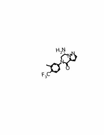 Cc1cc(N2C[C@H](N)n3nccc3C2=O)ccc1C(F)(F)F